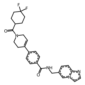 O=C(NCc1ccc2nccn2c1)c1ccc(C2=CCN(C(=O)C3CCC(F)(F)CC3)CC2)cc1